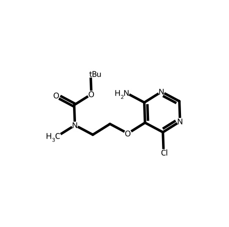 CN(CCOc1c(N)ncnc1Cl)C(=O)OC(C)(C)C